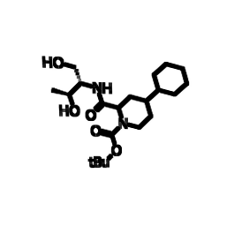 C[C@H](O)[C@H](CO)NC(=O)C1CC(C2CCCCC2)CCN1C(=O)OC(C)(C)C